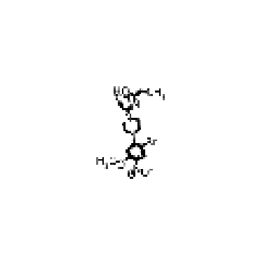 C=C/C(=N\C(O)=C/C)N1CCN(c2cc(OC)c([N+](=O)[O-])cc2Br)CC1